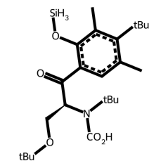 Cc1cc(C(=O)[C@H](COC(C)(C)C)N(C(=O)O)C(C)(C)C)c(O[SiH3])c(C)c1C(C)(C)C